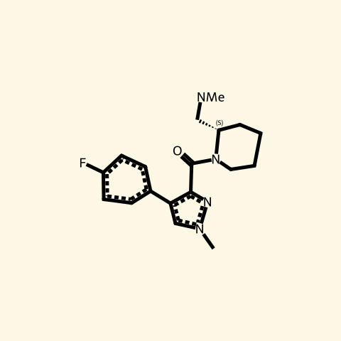 CNC[C@@H]1CCCCN1C(=O)c1nn(C)cc1-c1ccc(F)cc1